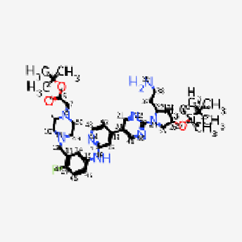 CC(C)(C)OC(=O)CN1CCN(Cc2cc(Nc3cc(-c4cnc(N5CC(O[Si](C)(C)C(C)(C)C)CC5CCN)nc4)ccn3)ccc2F)CC1